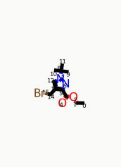 CCOC(=O)c1nn(C(C)(C)C)cc1CBr